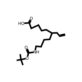 C=CCC(CCCCNC(=O)OC(C)(C)C)CCCCC(=O)O